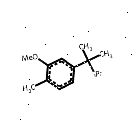 COc1cc(C(C)(C)C(C)C)ccc1C